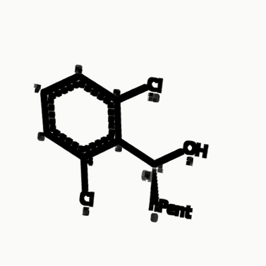 CCCCC[C@@H](O)c1c(Cl)cccc1Cl